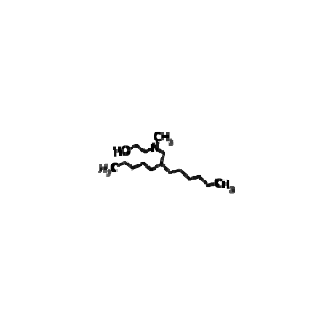 CCCCCCC(CCCCC)CN(C)CCO